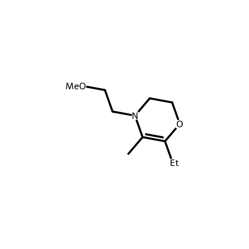 CCC1=C(C)N(CCOC)CCO1